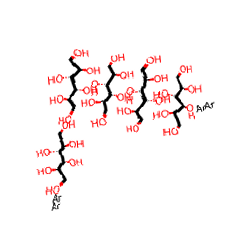 OC[C@@H](O)[C@@H](O)[C@H](O)[C@H](O)CO.OC[C@@H](O)[C@@H](O)[C@H](O)[C@H](O)CO.OC[C@@H](O)[C@@H](O)[C@H](O)[C@H](O)CO.OC[C@@H](O)[C@@H](O)[C@H](O)[C@H](O)CO.OC[C@@H](O)[C@@H](O)[C@H](O)[C@H](O)CO.[Ar].[Ar].[Ar].[Ar]